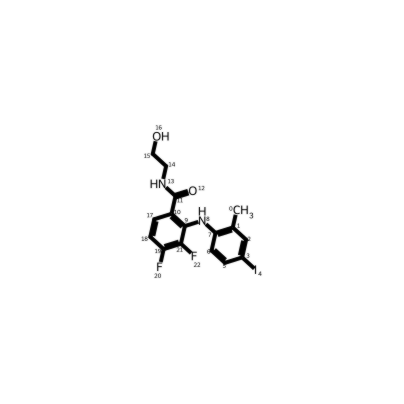 Cc1cc(I)ccc1Nc1c(C(=O)NCCO)ccc(F)c1F